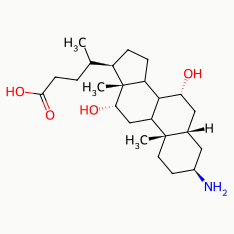 CC(CCC(=O)O)[C@H]1CCC2C3C(C[C@H](O)[C@@]21C)[C@@]1(C)CC[C@H](N)C[C@H]1C[C@H]3O